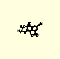 CSN(SC)C(=S)c1c([N+](=O)[O-])cc(C#N)cc1[N+](=O)[O-]